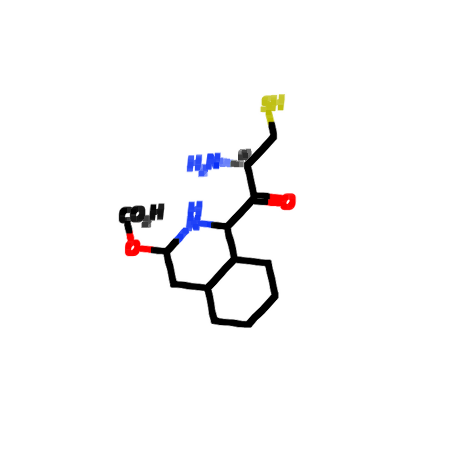 N[C@H](CS)C(=O)C1NC(OC(=O)O)CC2CCCCC21